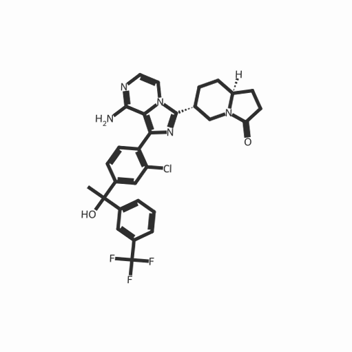 CC(O)(c1cccc(C(F)(F)F)c1)c1ccc(-c2nc([C@@H]3CC[C@H]4CCC(=O)N4C3)n3ccnc(N)c23)c(Cl)c1